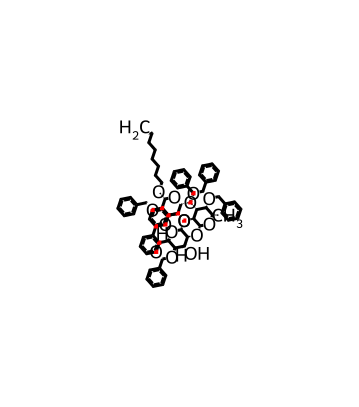 C=CCCCCCCO[C@@H]1O[C@H](COCc2ccccc2)[C@@H](O[C@@H]2O[C@@H]3COC(c4ccccc4)O[C@@H]3[C@H](O)[C@H]2O[C@@H]2O[C@@H](C)[C@@H](OCc3ccccc3)[C@@H](OCc3ccccc3)[C@@H]2OCc2ccccc2)[C@H](OCc2ccccc2)[C@H]1OCc1ccccc1